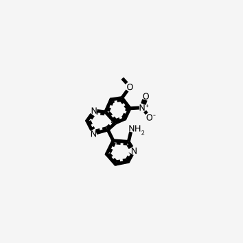 COc1cc2ncnc(-c3cccnc3N)c2cc1[N+](=O)[O-]